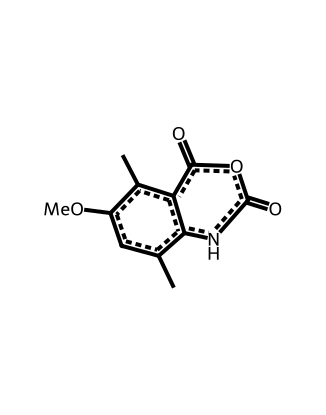 COc1cc(C)c2[nH]c(=O)oc(=O)c2c1C